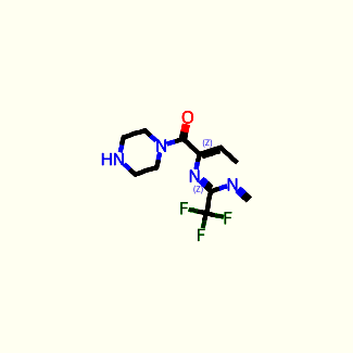 C=N/C(=N\C(=C/C)C(=O)N1CCNCC1)C(F)(F)F